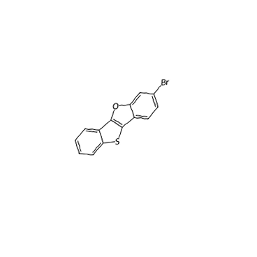 Brc1ccc2c(c1)oc1c3ccccc3sc21